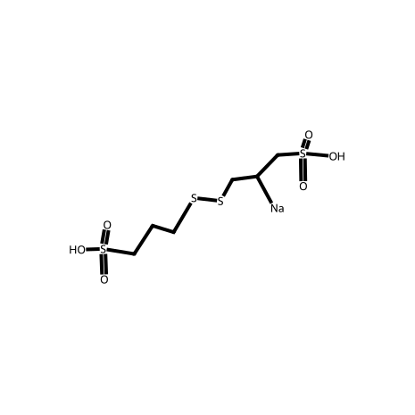 O=S(=O)(O)CCCSSC[CH]([Na])CS(=O)(=O)O